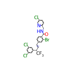 O=C(NCc1ccc(Cl)cn1)c1ccc(/C=C/C(c2cc(Cl)cc(Cl)c2)C(F)(F)F)cc1Br